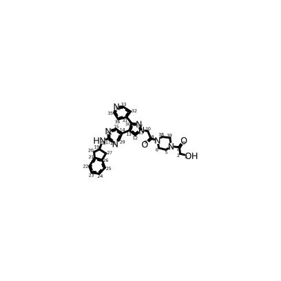 O=C(CO)N1CCN(C(=O)Cn2cc(-c3cnc(NC4Cc5ccccc5C4)nc3)c(-c3ccncc3)n2)CC1